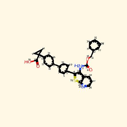 O=C(Nc1c(-c2ccc(-c3ccc(C4(C(=O)O)CC4)cc3)cc2)sc2ncccc12)OCc1ccccc1